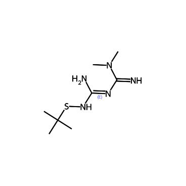 CN(C)C(=N)/N=C(\N)NSC(C)(C)C